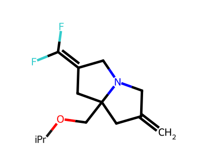 C=C1CN2CC(=C(F)F)CC2(COC(C)C)C1